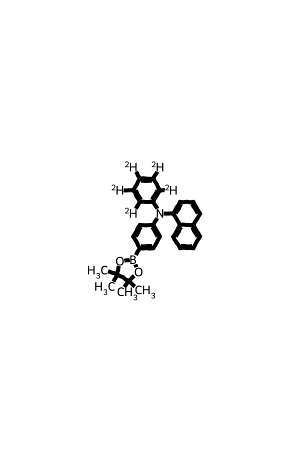 [2H]c1c([2H])c([2H])c(N(c2ccc(B3OC(C)(C)C(C)(C)O3)cc2)c2cccc3ccccc23)c([2H])c1[2H]